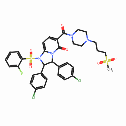 CS(=O)(=O)CCCN1CCN(C(=O)c2ccc3n(c2=O)C(c2ccc(Cl)cc2)C(c2ccc(Cl)cc2)N3S(=O)(=O)c2ccccc2F)CC1